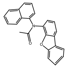 CC(=O)N(c1cccc2ccccc12)c1cccc2c1oc1ccccc12